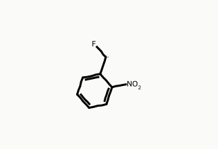 O=[N+]([O-])c1ccccc1[CH]F